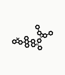 CC1(C)c2ccccc2-c2ccc(-c3c4ccccc4c(-c4cccc5c(N(c6ccccc6)c6ccc(-n7c8ccc(-c9ccccc9)cc8c8cc(-c9ccccc9)ccc87)cc6)cccc45)c4ccccc34)cc21